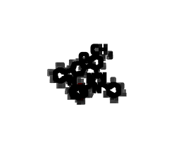 Cc1ccc(-c2nc(-c3ccccc3)nc(-c3ccccc3)n2)c2c1oc1cc3c4ccccc4n(-c4ccccc4)c3cc12